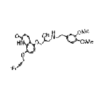 CCCC#CCOc1ccc(OCC(O)CNCCc2ccc(OC)c(OC)c2)c2ccc(=O)[nH]c12